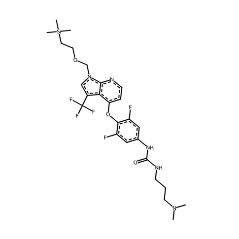 CN(C)CCCNC(=O)Nc1cc(F)c(Oc2ccnc3c2c(C(F)(F)F)cn3COCC[Si](C)(C)C)c(F)c1